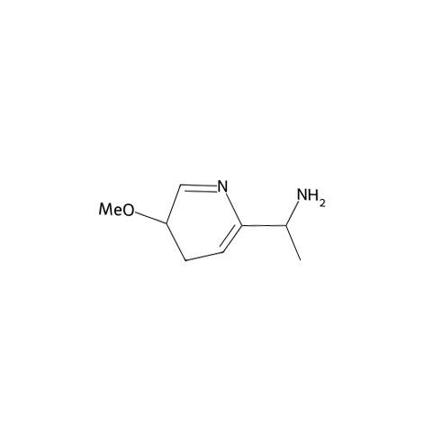 COC1C=NC(C(C)N)=CC1